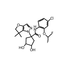 CC1(C)COc2cnn(C3(C(=O)Nc4ccc(Cl)cc4OC(F)F)CC(O)C(O)C3)c21